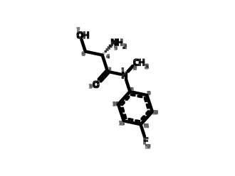 CN(C(=O)[C@@H](N)CO)c1ccc(F)cc1